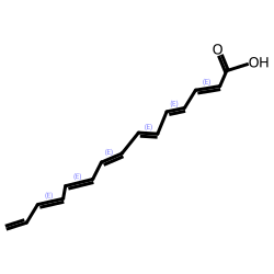 C=C/C=C/C=C/C=C/C=C/C=C/C=C/C(=O)O